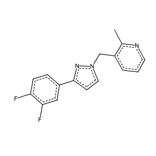 Cc1ncccc1Cn1ccc(-c2ccc(F)c(F)c2)n1